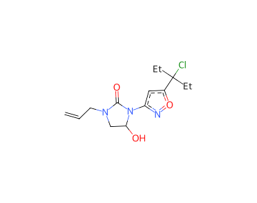 C=CCN1CC(O)N(c2cc(C(Cl)(CC)CC)on2)C1=O